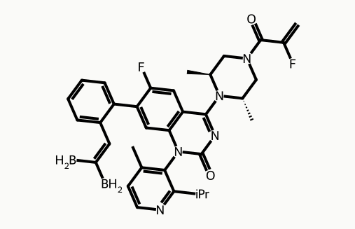 BC(B)=Cc1ccccc1-c1cc2c(cc1F)c(N1[C@@H](C)CN(C(=O)C(=C)F)C[C@@H]1C)nc(=O)n2-c1c(C)ccnc1C(C)C